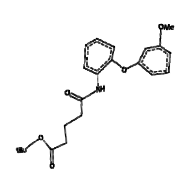 COc1cccc(Oc2ccccc2NC(=O)CCCC(=O)OC(C)(C)C)c1